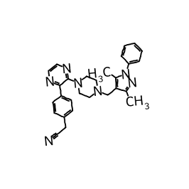 Cc1nn(-c2ccccc2)c(C)c1CN1CCN(c2nccnc2-c2ccc(CC#N)cc2)CC1